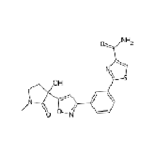 CN1CCC(O)(c2cc(-c3cccc(-c4nc(C(N)=O)cs4)c3)no2)C1=O